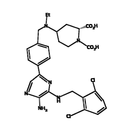 CCN(Cc1ccc(-c2cnc(N)c(NCc3c(Cl)cccc3Cl)n2)cc1)C1CCN(C(=O)O)[C@@H](C(=O)O)C1